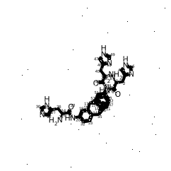 N[C@@H](Cc1c[nH]cn1)C(=O)Nc1ccc2c(c1)C1c3cc(NC(=O)[C@@H](N)Cc4cnc[nH]4)ccc3C2C2c3cc(NC(=O)[C@@H](N)Cc4c[nH]cn4)cc1c32